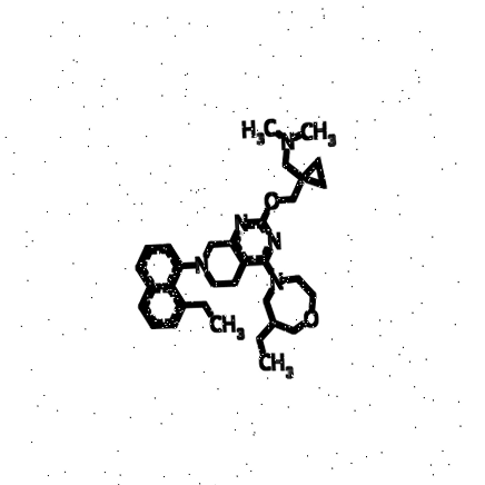 CCc1cccc2cccc(N3CCc4c(nc(OCC5(CN(C)C)CC5)nc4N4CCOCC(CC)C4)C3)c12